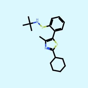 Cc1nc(C2CCCCC2)sc1-c1ccccc1SNC(C)(C)C